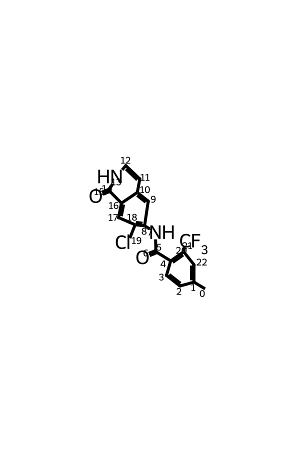 Cc1ccc(C(=O)Nc2cc3cc[nH]c(=O)c3cc2Cl)c(C(F)(F)F)c1